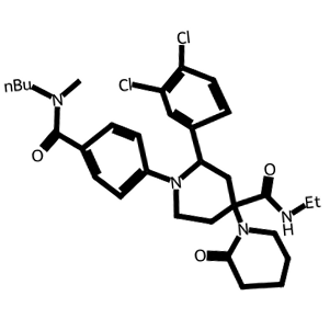 CCCCN(C)C(=O)c1ccc(N2CCC(C(=O)NCC)(N3CCCCC3=O)CC2c2ccc(Cl)c(Cl)c2)cc1